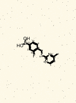 Cc1ccnc(SCc2ccc(B(O)O)cc2F)n1